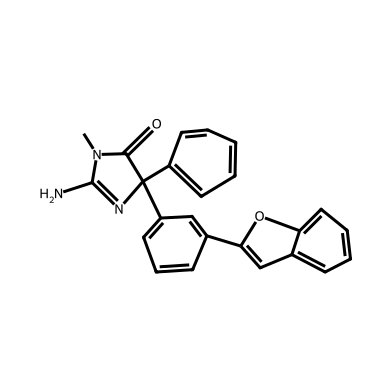 CN1C(=O)C(c2ccccc2)(c2cccc(-c3cc4ccccc4o3)c2)N=C1N